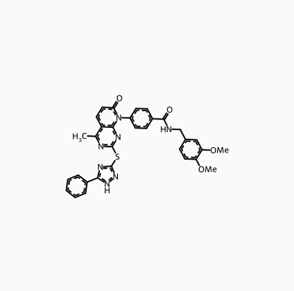 COc1ccc(CNC(=O)c2ccc(-n3c(=O)ccc4c(C)nc(Sc5n[nH]c(-c6ccccc6)n5)nc43)cc2)cc1OC